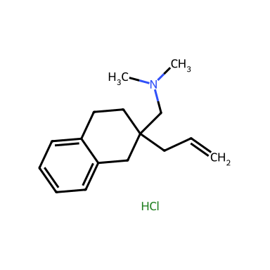 C=CCC1(CN(C)C)CCc2ccccc2C1.Cl